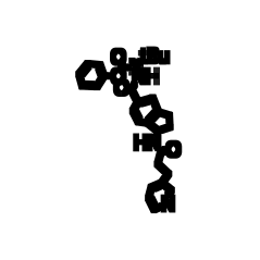 CC(C)(C)N(NC(=O)c1ccc2c(c1)CCC2NC(=O)CCc1cccnc1)C(=O)Oc1ccccc1